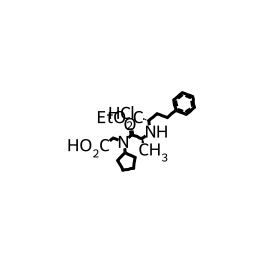 CCOC(=O)[C@H](CCc1ccccc1)N[C@@H](C)C(=O)N(CC(=O)O)C1CCCC1.Cl